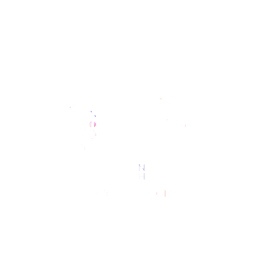 COC(=O)C1=C(C)NC(C)=C(C(=O)OC)C1c1ccccc1[N+](=O)[O-].OCCO